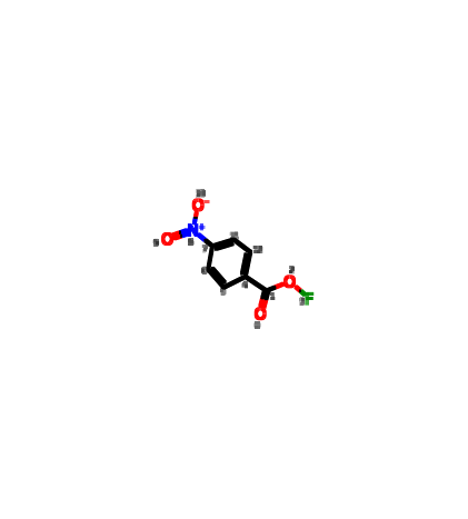 O=C(OF)c1ccc([N+](=O)[O-])cc1